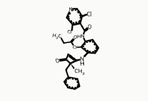 CCC(=O)Oc1c(NC(=O)c2c(Cl)cncc2Cl)cccc1NC1=CC(=O)[C@@]1(C)Cc1ccccc1